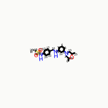 CC1CN(c2cccc(NCc3ccc(NS(=O)(=O)C(C)C)cc3)c2)CC(C)O1